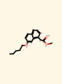 CCCCCOc1ccc2cccc(CC(=O)OC)c2c1